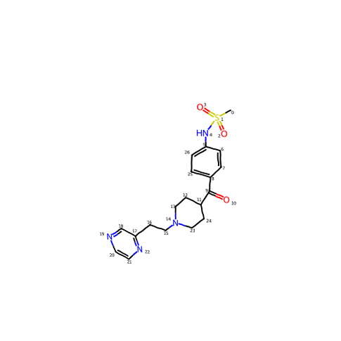 CS(=O)(=O)Nc1ccc(C(=O)C2CCN(CCc3cnccn3)CC2)cc1